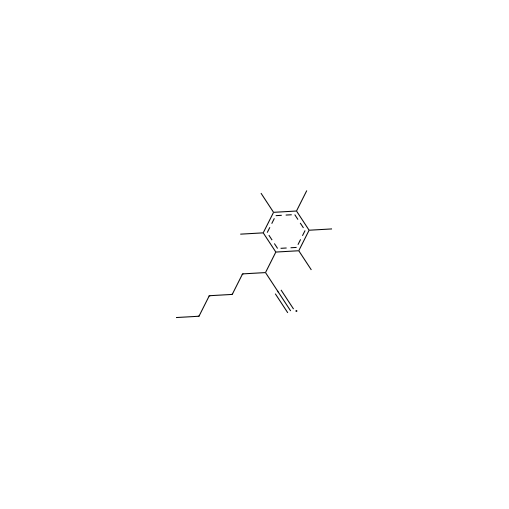 [C]#CC(CCCCC)c1c(C)c(C)c(C)c(C)c1C